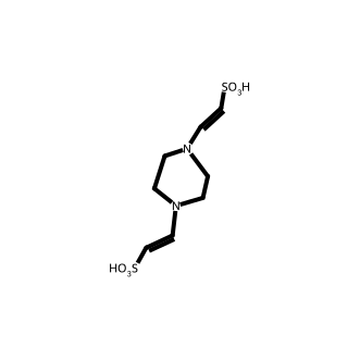 O=S(=O)(O)C=CN1CCN(C=CS(=O)(=O)O)CC1